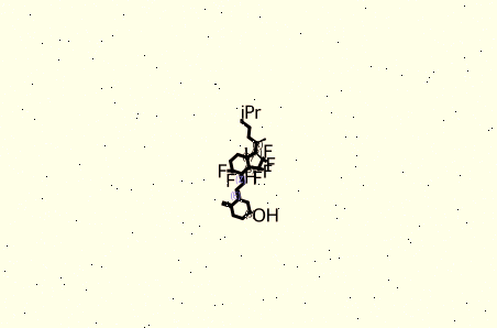 C=C1CC[C@H](O)C/C1=C\C=C1\[C@H]2C(F)(F)C(F)(F)[C@H]([C@H](C)CCCC(C)C)[C@@]2(C)CCC1(F)F